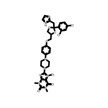 CCn1c(N2CCN(c3ccc(OCC4COC(Cc5ncc[nH]5)(c5ccc(Cl)cc5Cl)O4)cc3)CC2)nc2c1c(=O)n(C)c(=O)n2C